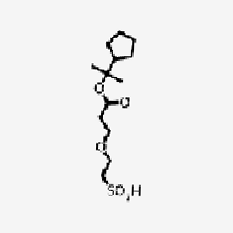 CC(C)(OC(=O)CCOCCS(=O)(=O)O)C1CCCC1